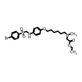 CCOC(=O)CN(C)CCCCCCOc1ccc(NCS(=O)(=O)c2ccc(Br)cc2)cc1